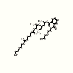 C=CC(CC(C)OC(=O)c1ccccc1C(=O)OCCOCCO)OC(C)COC(=O)CCCCC(=O)OCCOCCO